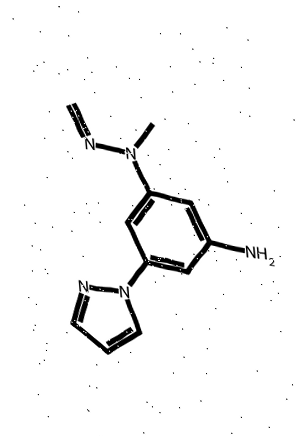 C=NN(C)c1cc(N)cc(-n2cccn2)c1